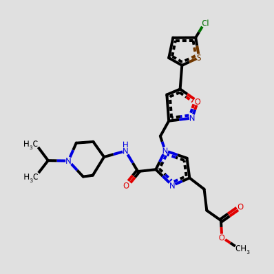 COC(=O)CCc1cn(Cc2cc(-c3ccc(Cl)s3)on2)c(C(=O)NC2CCN(C(C)C)CC2)n1